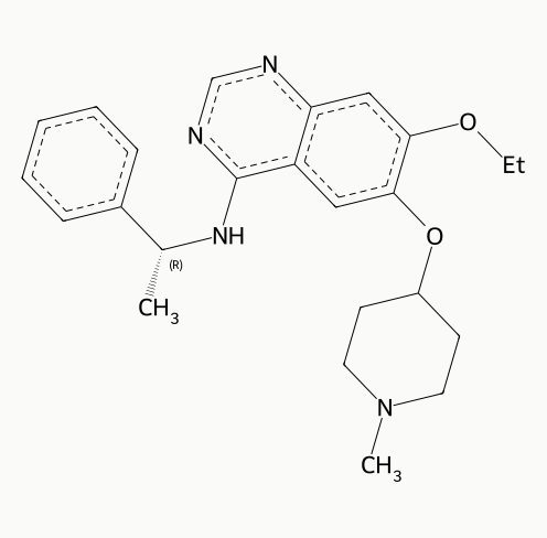 CCOc1cc2ncnc(N[C@H](C)c3ccccc3)c2cc1OC1CCN(C)CC1